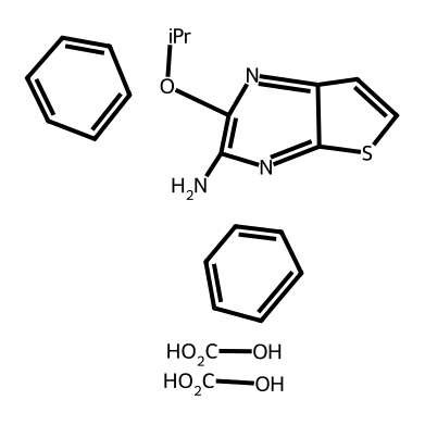 CC(C)Oc1nc2ccsc2nc1N.O=C(O)O.O=C(O)O.c1ccccc1.c1ccccc1